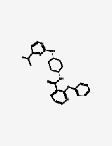 CN(C)c1ccnc(N[C@H]2CC[C@@H](NC(=O)c3cccnc3Oc3ccccc3)CC2)n1